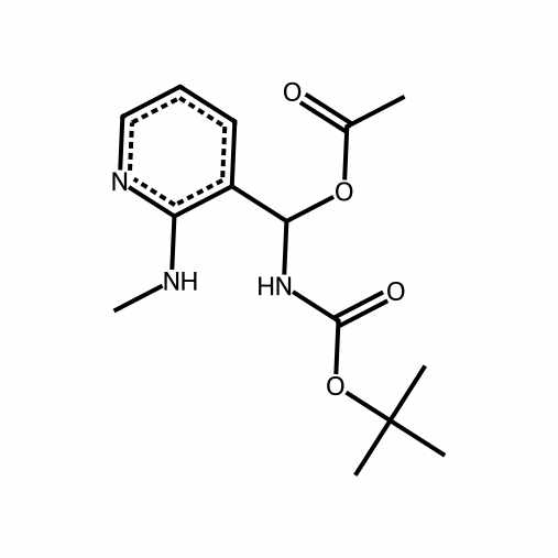 CNc1ncccc1C(NC(=O)OC(C)(C)C)OC(C)=O